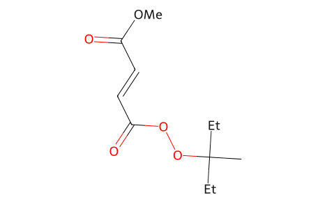 CCC(C)(CC)OOC(=O)/C=C/C(=O)OC